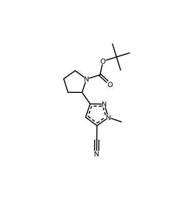 Cn1nc(C2CCCN2C(=O)OC(C)(C)C)cc1C#N